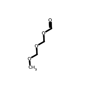 COCOCOC=O